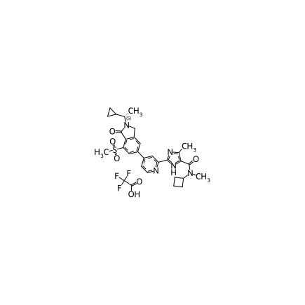 Cc1nc(-c2cc(-c3cc4c(c(S(C)(=O)=O)c3)C(=O)N([C@@H](C)C3CC3)C4)ccn2)[nH]c1C(=O)N(C)C1CCC1.O=C(O)C(F)(F)F